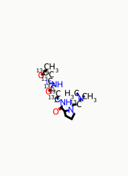 C[13C](=O)[13CH2][13CH2][15NH][13C](=O)[13CH2][13CH2][15NH]C(=O)C1CCCN1C[13CH2]N(C)C